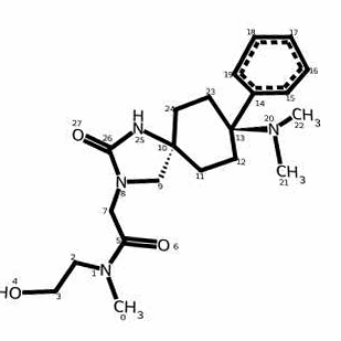 CN(CCO)C(=O)CN1C[C@]2(CC[C@](c3ccccc3)(N(C)C)CC2)NC1=O